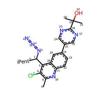 CCCC(C)C(N=[N+]=[N-])c1c(Cl)c(C)nc2ccc(-c3cnc(C(C)(C)O)nc3)cc12